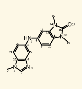 Cn1cnc2cc(Nc3ccc4c(c3)n(C)c(=O)n4C)ccc21